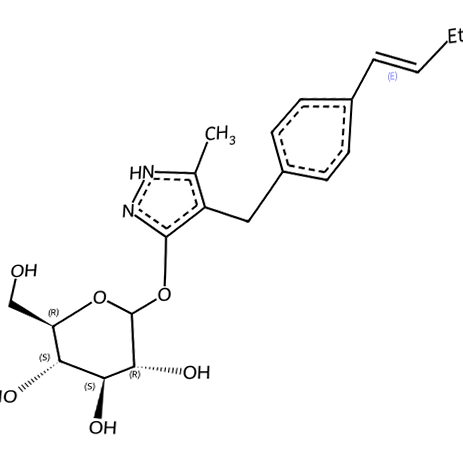 CC/C=C/c1ccc(Cc2c(OC3O[C@H](CO)[C@@H](O)[C@H](O)[C@H]3O)n[nH]c2C)cc1